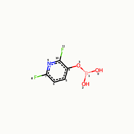 OB(O)Oc1ccc(F)nc1F